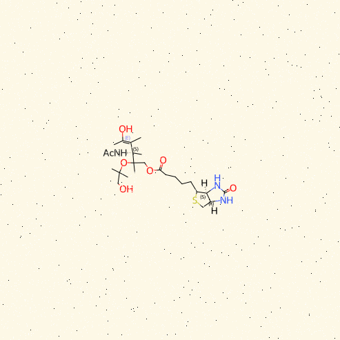 CC(=O)N[C@@](C)(/C(C)=C(\C)O)C(C)(COC(=O)CCCCC1SC[C@@H]2NC(=O)N[C@H]12)OC(C)(C)CO